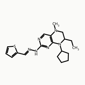 CCC1CN(C)c2cnc(N/N=C/c3cccs3)nc2N1C1CCCC1